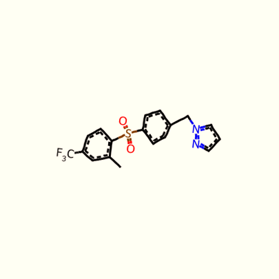 Cc1cc(C(F)(F)F)ccc1S(=O)(=O)c1ccc(Cn2cccn2)cc1